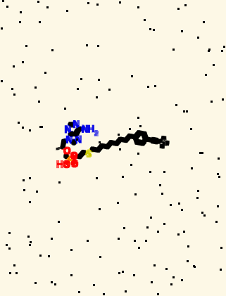 C[C@H](Cn1cnc2c(N)ncnc21)OCP(=O)(O)OCCSCCCCCCCCCc1ccc(C#C[Si](C)(C)C)cc1